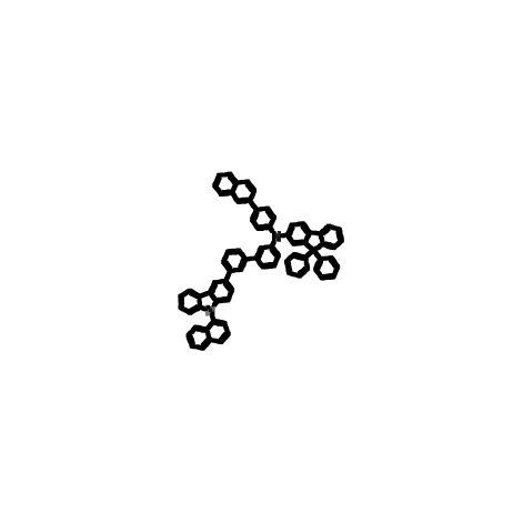 c1ccc(C2(c3ccccc3)c3ccccc3-c3ccc(N(c4ccc(-c5ccc6ccccc6c5)cc4)c4cccc(-c5cccc(-c6ccc7c(c6)c6ccccc6n7-c6cccc7ccccc67)c5)c4)cc32)cc1